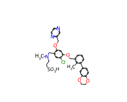 Cc1c(COc2cc(OCc3cnccn3)c(CN(C)CCS(=O)(=O)O)cc2Cl)cccc1-c1ccc2c(c1)OCCO2